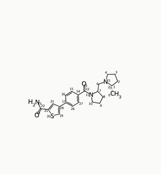 C[C@H]1CCCN1CC1CCCN1C(=O)c1ccc(-c2csc(C(N)=O)c2)cc1